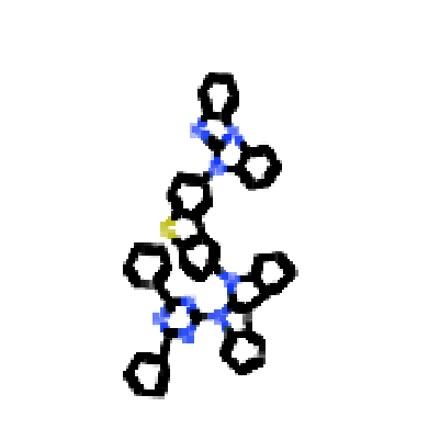 c1ccc(-c2nc(-c3ccccc3)nc(-n3c4ccccc4c4c5ccccc5n(-c5ccc6sc7ccc(-n8c9ccccc9n9c%10ccccc%10nc89)cc7c6c5)c43)n2)cc1